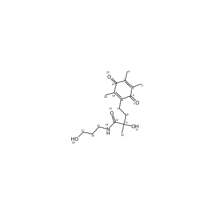 CC1=C(C)C(=O)C(CCC(C)(O)C(=O)NCCCO)=C(C)C1=O